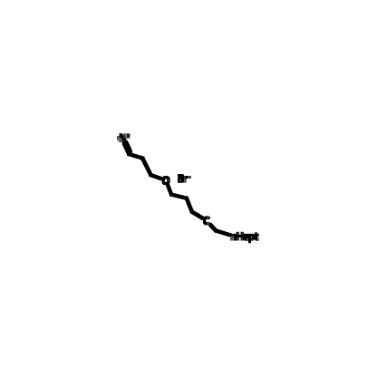 CCCCCCCCCCCCOCCC=[N+].[Br-]